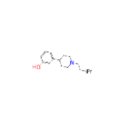 CC(C)CCN1CCC(c2cccc(O)c2)CC1